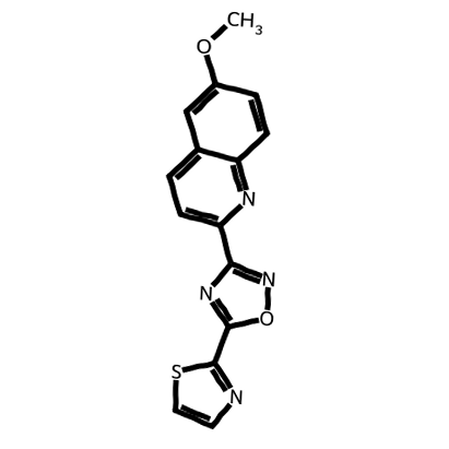 COc1ccc2nc(-c3noc(-c4nccs4)n3)ccc2c1